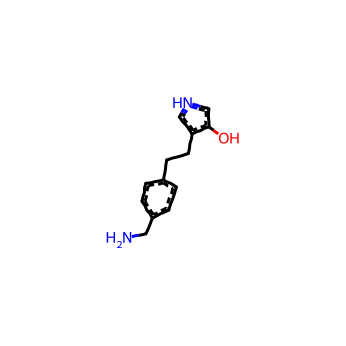 NCc1ccc(CCc2c[nH]cc2O)cc1